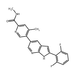 CNC(=O)c1cc(C)c(-c2cnc3[nH]c(-c4c(F)cccc4F)cc3c2)cn1